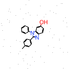 Cc1ccc(-c2nc3ccc(O)cc3n2-c2ccccc2)cc1